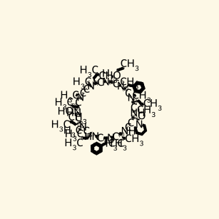 CCCOC[C@@H]1CN(C)[C@@H](Cc2ccccc2)CN(C)[C@@H](CC(C)C)CN[C@H](C(=O)N2CCCCC2)CCN[C@H](C(C)C)CN(C)[C@@H](Cc2ccccc2)CN[C@@H](CC(C)C)CN(C)[C@@H](CC(C)C)CN[C@H]([C@@H](C)O)CN(C)CCN(C)[C@@H](CC(C)C)CN1